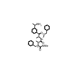 CNC(=O)[C@@H](Cc1ccccc1)N(C)C(=O)[C@@H](COCc1ccccc1)N(C)C(=O)c1cccc(C(C)N)c1